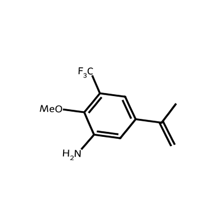 C=C(C)c1cc(N)c(OC)c(C(F)(F)F)c1